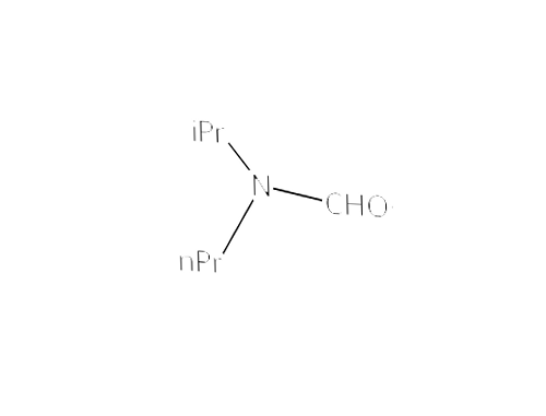 CCCN([C]=O)C(C)C